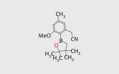 COc1cc(C)cc(CC#N)c1B1CC(C)(C)C(C)(C)O1